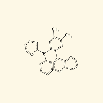 Cc1cc(-c2cccc3ccccc23)c(P(c2ccccc2)c2ccccc2)cc1C